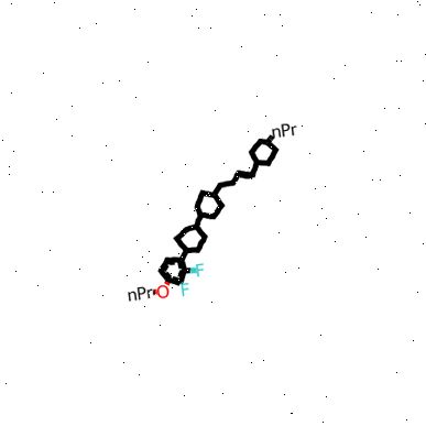 CCCOc1ccc(C2CCC(C3CCC(CC/C=C/C4CCC(CCC)CC4)CC3)CC2)c(F)c1F